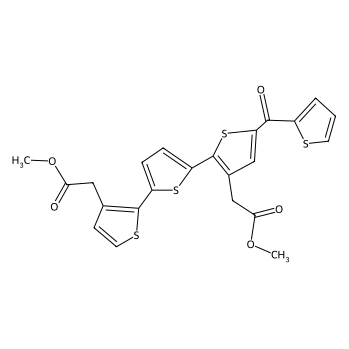 COC(=O)Cc1ccsc1-c1ccc(-c2sc(C(=O)c3cccs3)cc2CC(=O)OC)s1